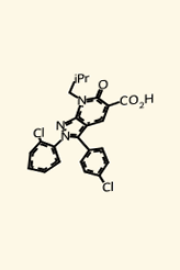 CC(C)Cn1c(=O)c(C(=O)O)cc2c(-c3ccc(Cl)cc3)n(-c3ccccc3Cl)nc21